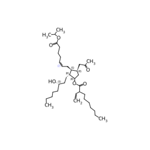 C=CC(CCCCCCC)C(=O)O[C@@H]1C[C@H](CC(C)=O)[C@H](C/C=C\CCCC(=O)OC(C)C)[C@H]1CC[C@@H](O)CCCCC